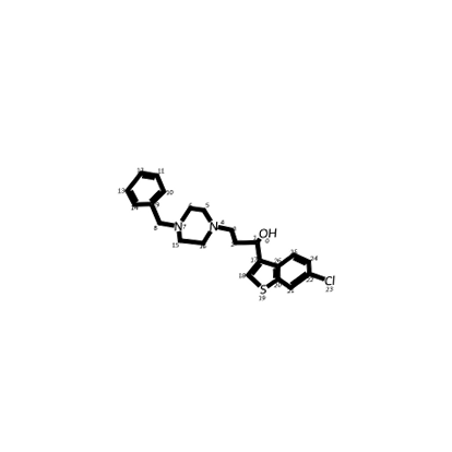 OC(CCN1CCN(Cc2ccccc2)CC1)c1csc2cc(Cl)ccc12